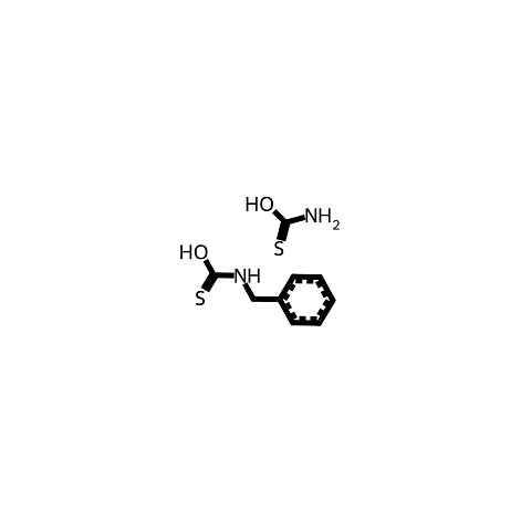 NC(O)=S.OC(=S)NCc1ccccc1